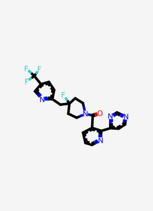 O=C(c1cccnc1-c1ccncn1)N1CCC(F)(Cc2ccc(C(F)(F)F)cn2)CC1